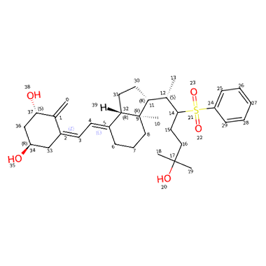 C=C1/C(=C\C=C2/CCC[C@]3(C)[C@@H]([C@H](C)C(CCC(C)(C)O)S(=O)(=O)c4ccccc4)CC[C@@H]23)C[C@@H](O)C[C@@H]1O